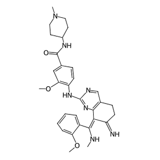 CN/C(=C1\C(=N)CCc2cnc(Nc3ccc(C(=O)NC4CCN(C)CC4)cc3OC)nc21)c1ccccc1OC